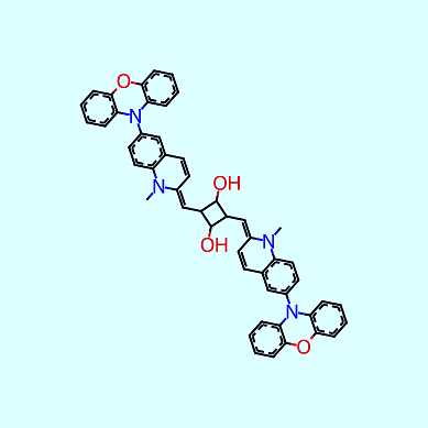 CN1/C(=C/C2C(O)C(/C=C3\C=Cc4cc(N5c6ccccc6Oc6ccccc65)ccc4N3C)C2O)C=Cc2cc(N3c4ccccc4Oc4ccccc43)ccc21